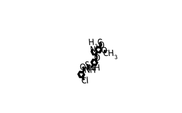 COc1cc2nccc(Oc3ccc(NC(=S)NC(=O)c4cccc(Cl)c4)cc3)c2cc1OC